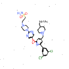 CC(=O)NCC1CCN(Cc2cc(Oc3cnc(N4CCN(CCS(N)(=O)=O)CC4)nc3)nc(-c3cc(Cl)cc(Cl)c3)c2)CC1